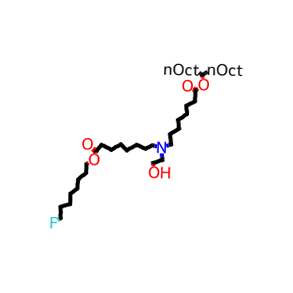 CCCCCCCCC(CCCCCCCC)OC(=O)CCCCCCCN(CCO)CCCCCCCC(=O)OCCCCCCCCF